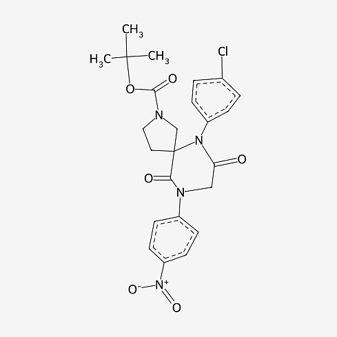 CC(C)(C)OC(=O)N1CCC2(C1)C(=O)N(c1ccc([N+](=O)[O-])cc1)CC(=O)N2c1ccc(Cl)cc1